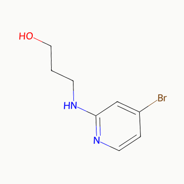 OCCCNc1cc(Br)ccn1